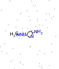 C=NNCc1ccc(N)nc1